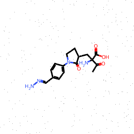 CC(=O)C(N)(CC1CCN(c2ccc(C=NN)cc2)C1=O)C(=O)O